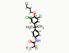 CC(C)(c1ccc(NC(=O)C(=O)C(F)(F)F)cc1)c1cc(Cl)c(OCCCCl)c(Cl)c1